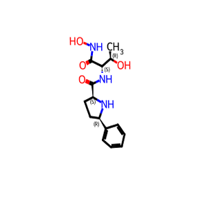 C[C@@H](O)[C@H](NC(=O)[C@@H]1CC[C@H](c2ccccc2)N1)C(=O)NO